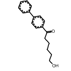 O=C(CCCCCO)c1ccc(-c2ccccc2)cc1